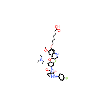 CCN(CC)CC.COc1cc2c(Oc3ccc(NC(=O)C4(C(=O)Nc5ccc(F)cc5)CC4)cc3F)ccnc2cc1OCCCCCCC(=O)O